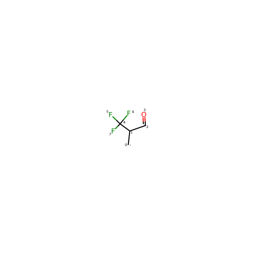 [CH2]C(C=O)C(F)(F)F